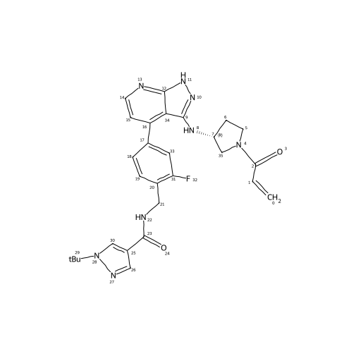 C=CC(=O)N1CC[C@@H](Nc2n[nH]c3nccc(-c4ccc(CNC(=O)c5cnn(C(C)(C)C)c5)c(F)c4)c23)C1